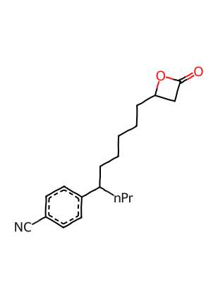 CCCC(CCCCCC1CC(=O)O1)c1ccc(C#N)cc1